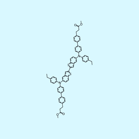 CCc1ccc(N(c2ccc(-c3ccc(CCC(=O)OC)cc3)cc2)c2ccc3sc(-c4cc5cc(N(c6ccc(CC)cc6)c6ccc(-c7ccc(CCC(=O)OC)cc7)cc6)ccc5s4)cc3c2)cc1